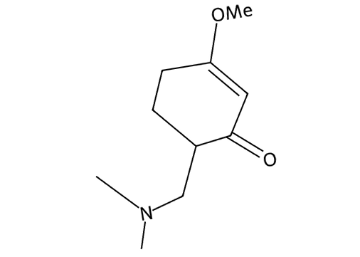 COC1=CC(=O)C(CN(C)C)CC1